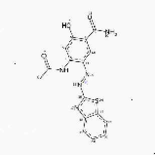 CC(=O)Nc1cc(O)c(C(N)=O)cc1/N=N/c1nc2ccccc2s1